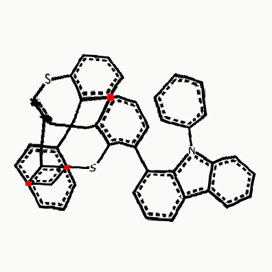 c1ccc(-c2cccc3c2C2(c4ccccc4S3)c3ccccc3Sc3c(-c4cccc5c6ccccc6n(-c6ccccc6)c45)cccc32)cc1